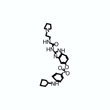 O=C(NCCN1CCCC1)Nc1nc2cc(OS(=O)(=O)c3ccc(NC4CCCC4)cc3)ccc2[nH]1